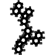 c1ccc2c(-n3c4ccccc4c4cc(-c5ccc6c(c5)c5cc7sc8ccccc8c7cc5n6-c5cccc6ccccc56)ccc43)cccc2c1